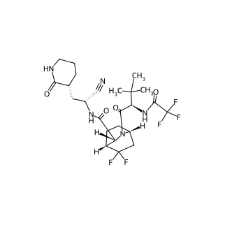 CC(C)(C)[C@@H](NC(=O)C(F)(F)F)C(=O)N1[C@@H]2CC[C@H]([C@@H]1C(=O)N[C@@H](C#N)C[C@H]1CCCNC1=O)C(F)(F)C2